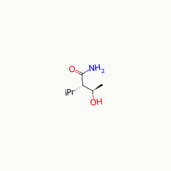 CC(C)[C@H](C(N)=O)[C@@H](C)O